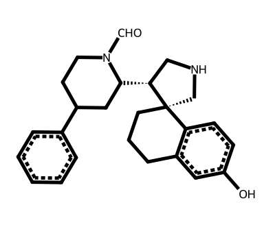 O=CN1CCC(c2ccccc2)CC1[C@@H]1CNC[C@]12CCCc1cc(O)ccc12